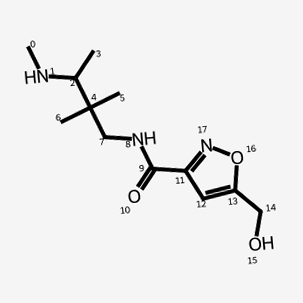 CNC(C)C(C)(C)CNC(=O)c1cc(CO)on1